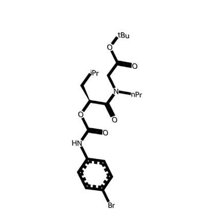 CCCN(CC(=O)OC(C)(C)C)C(=O)[C@H](CC(C)C)OC(=O)Nc1ccc(Br)cc1